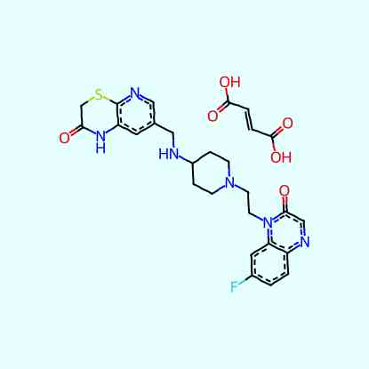 O=C(O)/C=C/C(=O)O.O=C1CSc2ncc(CNC3CCN(CCn4c(=O)cnc5ccc(F)cc54)CC3)cc2N1